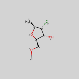 B[C@@H]1O[C@H](COC)[C@@H](O)[C@H]1Cl